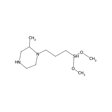 CO[SiH](CCCN1CCNCC1C)OC